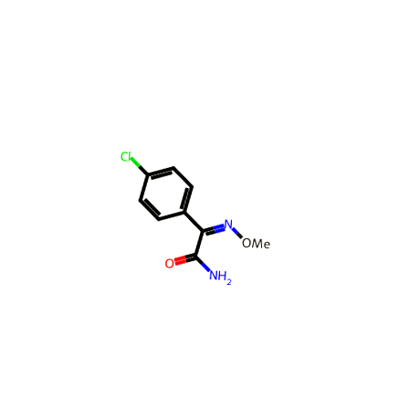 CON=C(C(N)=O)c1ccc(Cl)cc1